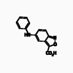 O=C(O)c1onc2ccc(Nc3ccccc3)cc12